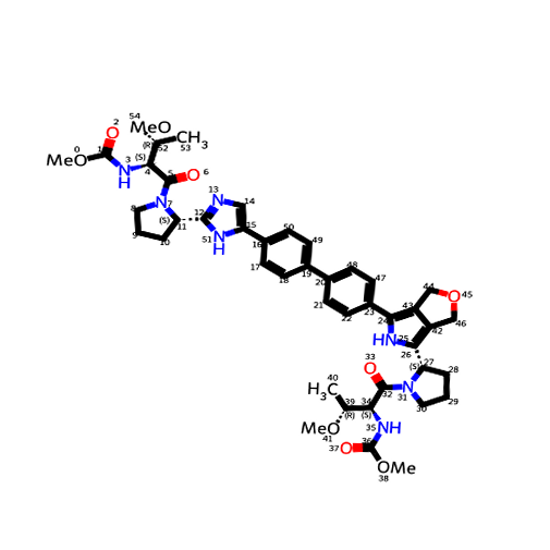 COC(=O)N[C@H](C(=O)N1CCC[C@H]1c1ncc(-c2ccc(-c3ccc(-c4[nH]c([C@@H]5CCCN5C(=O)[C@@H](NC(=O)OC)[C@@H](C)OC)c5c4COC5)cc3)cc2)[nH]1)[C@@H](C)OC